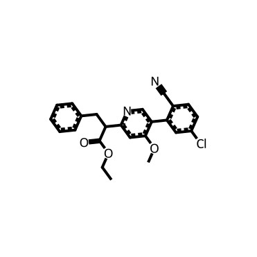 CCOC(=O)C(Cc1ccccc1)c1cc(OC)c(-c2cc(Cl)ccc2C#N)cn1